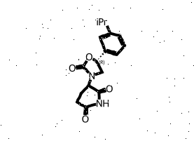 CC(C)c1cccc([C@@H]2CN(C3CCC(=O)NC3=O)C(=O)O2)c1